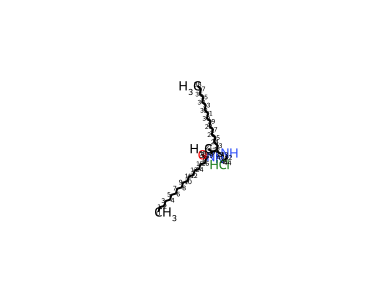 CCCCCCCCCCCCCCCCCC(=O)NC(C)C(CCCCCCCCCCCCCCCC)C1=NCCN1.Cl